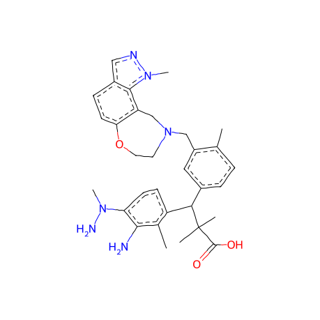 Cc1ccc(C(c2ccc(N(C)N)c(N)c2C)C(C)(C)C(=O)O)cc1CN1CCOc2ccc3cnn(C)c3c2C1